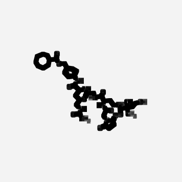 CC(C)(CCO)C(=O)NCCC(NC(=O)CN1C(=O)C=CC1=O)C(=O)NCC(=O)NC(CCCNC(N)=O)C(=O)Nc1ccc(COC(=O)C2CCCCCCC2)cc1